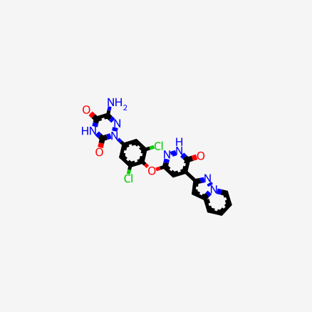 Nc1nn(-c2cc(Cl)c(Oc3cc(-c4cc5ccccn5n4)c(=O)[nH]n3)c(Cl)c2)c(=O)[nH]c1=O